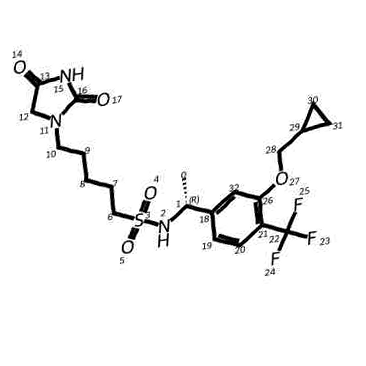 C[C@@H](NS(=O)(=O)CCCCCN1CC(=O)NC1=O)c1ccc(C(F)(F)F)c(OCC2CC2)c1